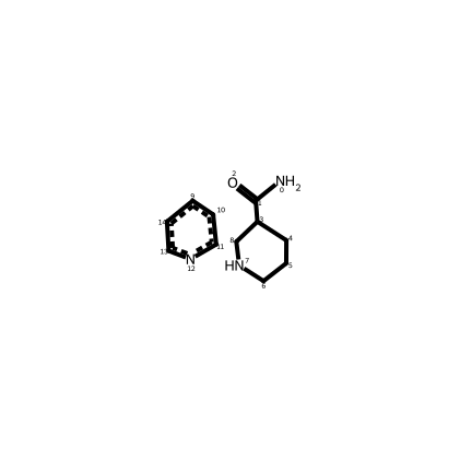 NC(=O)C1CCCNC1.c1ccncc1